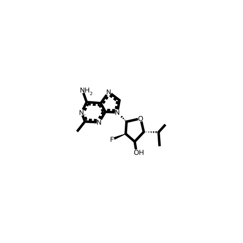 Cc1nc(N)c2ncn([C@@H]3O[C@H](C(C)C)C(O)[C@H]3F)c2n1